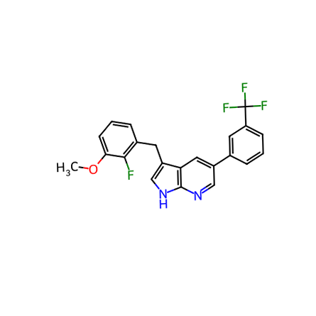 COc1cccc(Cc2c[nH]c3ncc(-c4cccc(C(F)(F)F)c4)cc23)c1F